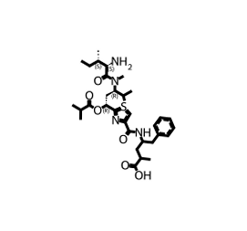 CC[C@H](C)[C@H](N)C(=O)N(C)[C@H](C[C@@H](OC(=O)C(C)C)c1nc(C(=O)NC(Cc2ccccc2)CC(C)C(=O)O)cs1)C(C)C